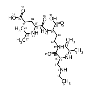 CCNC[C@H](NC(C)CC)C(=O)NCCC(NC(=O)[C@H](CCC(=O)O)NC(C)C)C(=O)O